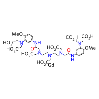 COc1ccc(NC(=O)CN(CCN(CCN(CC(=O)O)CC(=O)Nc2ccc(OC)c(N(CC(=O)O)CC(=O)O)c2)CC(=O)O)CC(=O)O)cc1N(CC(=O)O)CC(=O)O.[Gd]